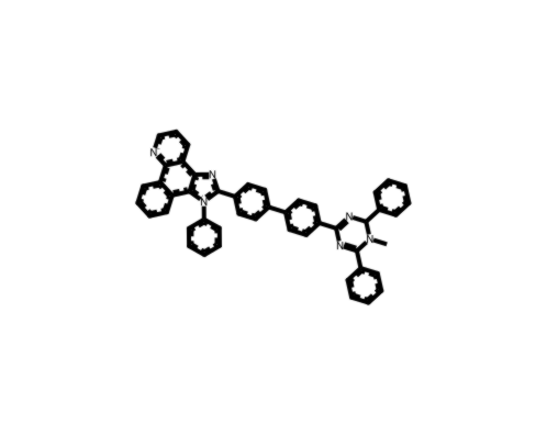 CN1C(c2ccccc2)=NC(c2ccc(-c3ccc(-c4nc5c6cccnc6c6ccccc6c5n4-c4ccccc4)cc3)cc2)=NC1c1ccccc1